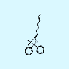 CC=CCCCC=CO[Si](c1ccccc1)(c1ccccc1)C(C)(C)C